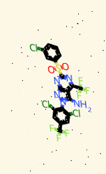 Nc1c2c(C(F)(F)F)nc(S(=O)(=O)c3cccc(Cl)c3)nc2nn1-c1c(Cl)cc(C(F)(F)F)cc1Cl